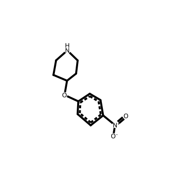 O=[N+]([O-])c1ccc(OC2CCNCC2)cc1